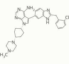 CN1CCN([C@H]2CC[C@@H](n3cc(-c4ccc5nc(Cc6ccccc6Cl)[nH]c5c4)c4c(N)ncnc43)CC2)CC1